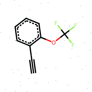 C#Cc1[c]cccc1OC(F)(F)F